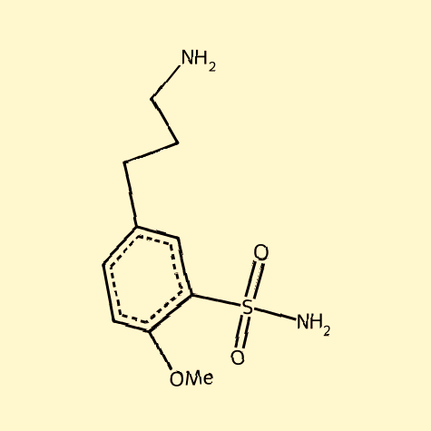 COc1ccc(CCCN)cc1S(N)(=O)=O